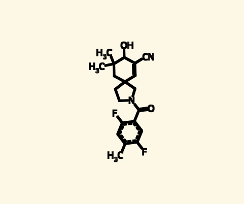 Cc1cc(F)c(C(=O)N2CCC3(C=C(C#N)C(O)C(C)(C)C3)C2)cc1F